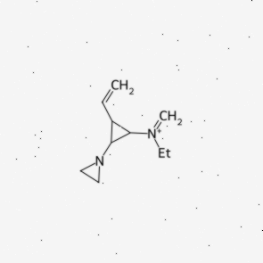 C=CC1C(N2CC2)C1[N+](=C)CC